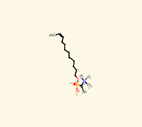 CCCCCC/C=C\CCCCCCCCCOP(=O)(O)C(CCC)[N+](C)(C)C